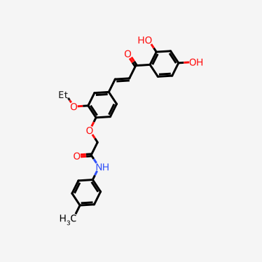 CCOc1cc(/C=C/C(=O)c2ccc(O)cc2O)ccc1OCC(=O)Nc1ccc(C)cc1